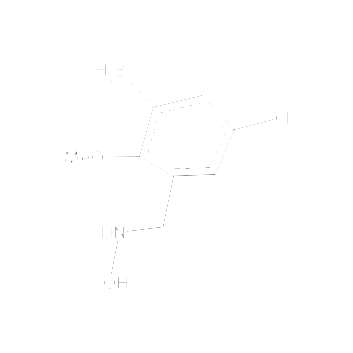 Bc1cc(Cl)cc(CNO)c1OC